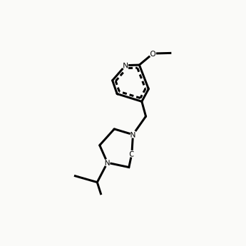 COc1cc(CN2CCN(C(C)C)CC2)ccn1